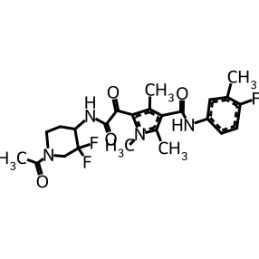 CC(=O)N1CCC(NC(=O)C(=O)c2c(C)c(C(=O)Nc3ccc(F)c(C)c3)c(C)n2C)C(F)(F)C1